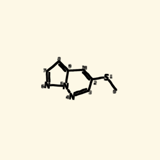 CSc1cnn2nccc2c1